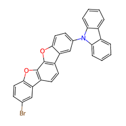 Brc1ccc2oc3c(ccc4c5cc(-n6c7ccccc7c7ccccc76)ccc5oc43)c2c1